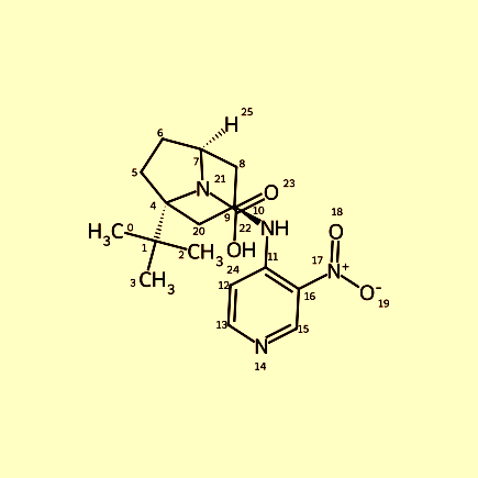 CC(C)(C)[C@@]12CC[C@@H](C[C@@H](Nc3ccncc3[N+](=O)[O-])C1)N2C(=O)O